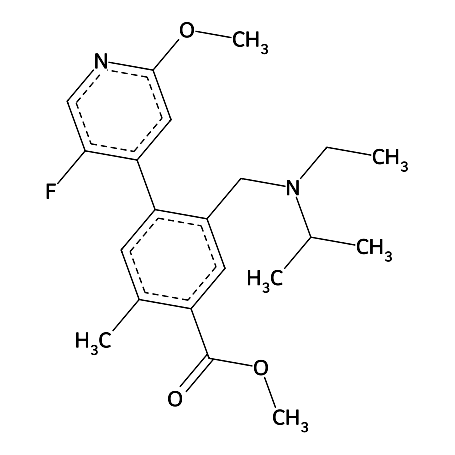 CCN(Cc1cc(C(=O)OC)c(C)cc1-c1cc(OC)ncc1F)C(C)C